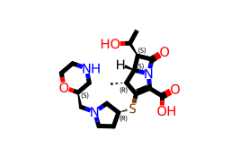 CC(O)[C@H]1C(=O)N2C(C(=O)O)=C(S[C@@H]3CCN(C[C@@H]4CNCCO4)C3)[C@H](C)[C@H]12